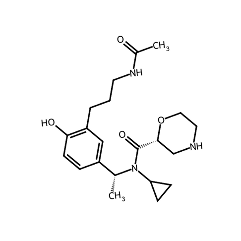 CC(=O)NCCCc1cc([C@@H](C)N(C(=O)[C@H]2CNCCO2)C2CC2)ccc1O